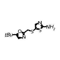 CC(C)(C)c1cnc(CSc2cnc(N)s2)o1